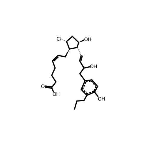 CCCc1cc(CC(O)/C=C/[C@@H]2[C@@H](C/C=C\CCCC(=O)O)[C@H](Cl)C[C@H]2O)ccc1O